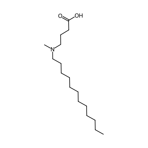 CCCCCCCCCCCCN(C)CCCC(=O)O